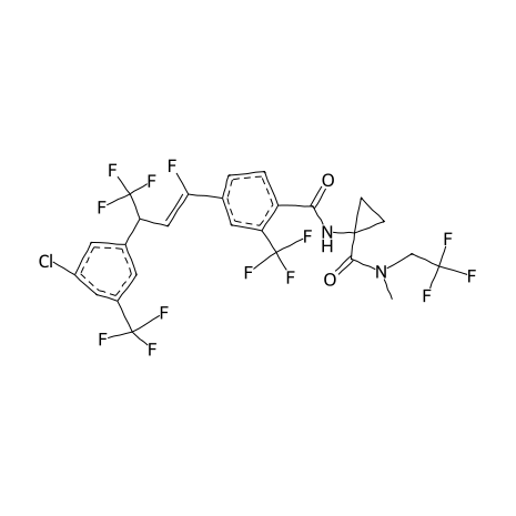 CN(CC(F)(F)F)C(=O)C1(NC(=O)c2ccc(/C(F)=C/C(c3cc(Cl)cc(C(F)(F)F)c3)C(F)(F)F)cc2C(F)(F)F)CC1